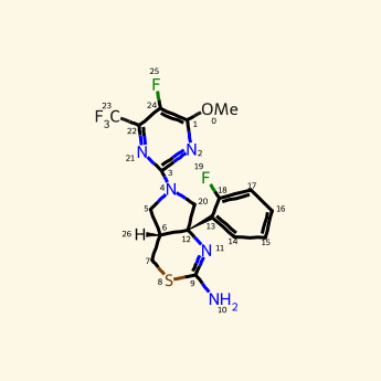 COc1nc(N2C[C@H]3CSC(N)=N[C@@]3(c3ccccc3F)C2)nc(C(F)(F)F)c1F